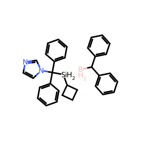 BC(c1ccccc1)c1ccccc1.c1ccc(C([SiH2]C2CCC2)(c2ccccc2)n2ccnc2)cc1